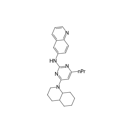 CCCc1cc(N2CCCC3CCCCC32)nc(Nc2ccc3ncccc3c2)n1